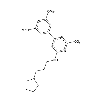 COc1cc(OC)cc(-c2nc(NCCCN3CCCC3)nc(C(Cl)(Cl)Cl)n2)c1